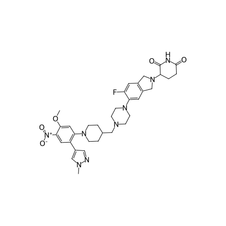 COc1cc(N2CCC(CN3CCN(c4cc5c(cc4F)CN(C4CCC(=O)NC4=O)C5)CC3)CC2)c(-c2cnn(C)c2)cc1[N+](=O)[O-]